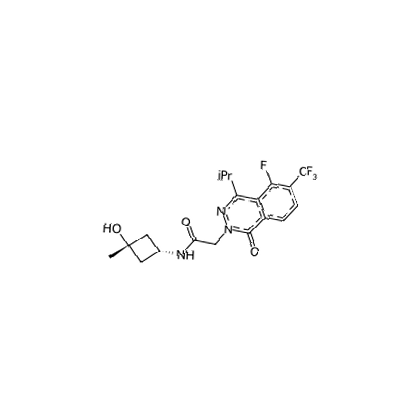 CC(C)c1nn(CC(=O)N[C@H]2C[C@@](C)(O)C2)c(=O)c2ccc(C(F)(F)F)c(F)c12